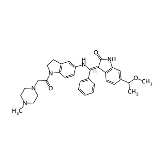 COC(C)c1ccc2c(c1)NC(=O)/C2=C(\Nc1ccc2c(c1)CCN2C(=O)CN1CCN(C)CC1)c1ccccc1